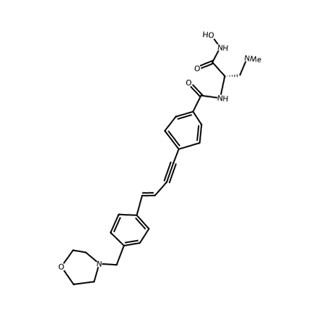 CNC[C@H](NC(=O)c1ccc(C#C/C=C/c2ccc(CN3CCOCC3)cc2)cc1)C(=O)NO